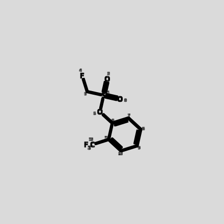 O=S(=O)(CF)Oc1ccccc1C(F)(F)F